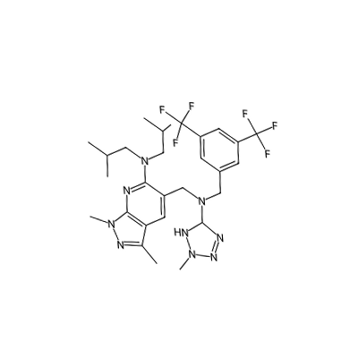 Cc1nn(C)c2nc(N(CC(C)C)CC(C)C)c(CN(Cc3cc(C(F)(F)F)cc(C(F)(F)F)c3)C3N=NN(C)N3)cc12